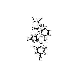 CCC(C)NC(=O)Oc1cc(C)n(Cc2cc(Cl)ccc2OCc2ccccc2)n1